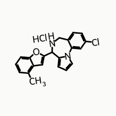 Cc1cccc2oc(C3NCc4ccc(Cl)cc4-n4cccc43)cc12.Cl